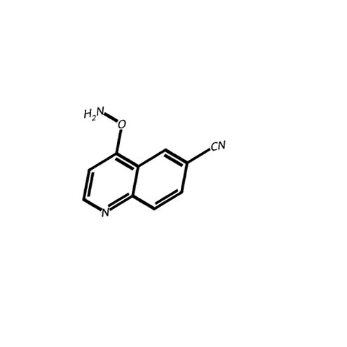 N#Cc1ccc2nccc(ON)c2c1